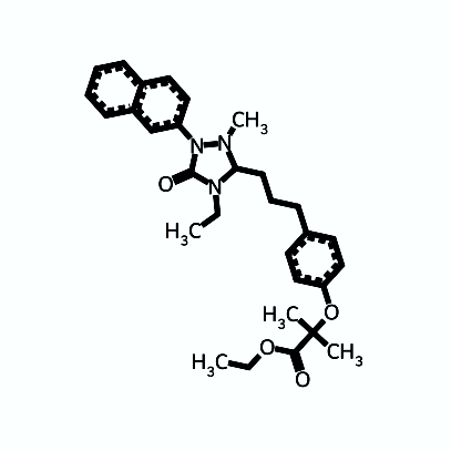 CCOC(=O)C(C)(C)Oc1ccc(CCCC2N(CC)C(=O)N(c3ccc4ccccc4c3)N2C)cc1